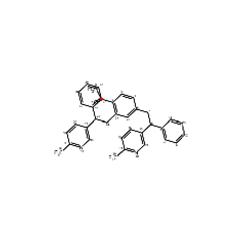 NC(=O)c1ccc(CC(c2ccccc2)c2ccc(C(F)(F)F)nc2)cc1CC(c1ccccc1)c1ccc(C(F)(F)F)nc1